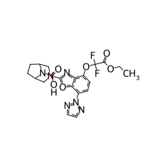 CCOC(=O)C(F)(F)Oc1ccc(-n2nccn2)c2oc(N3CC4CCC(C3)N4C(=O)O)nc12